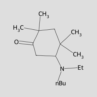 CCCCN(CC)C1CC(=O)C(C)(C)CC1(C)C